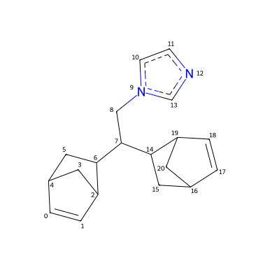 C1=CC2CC1CC2C(Cn1ccnc1)C1CC2C=CC1C2